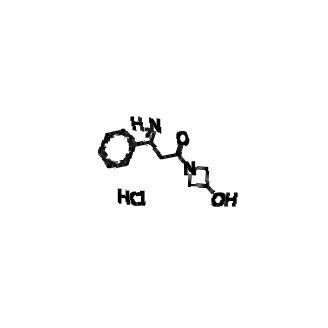 Cl.NC(CC(=O)N1CC(O)C1)c1ccccc1